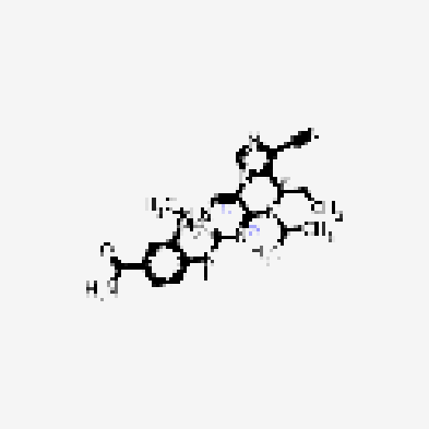 C=C(/N=C1\C(=C/N)n2cnc(C#N)c2[C@@H](CC)N1C(C)C)Nc1ccc(C(N)=O)cc1OC